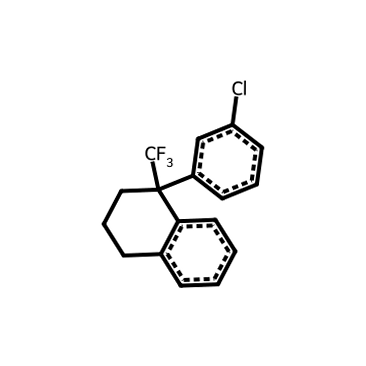 FC(F)(F)C1(c2cccc(Cl)c2)CCCc2ccccc21